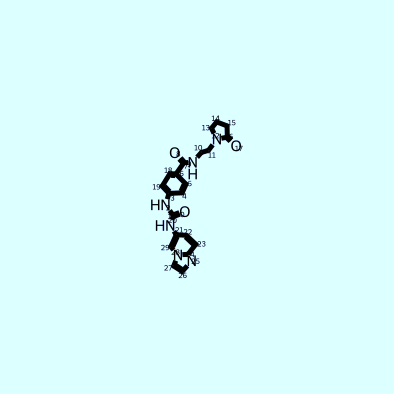 O=C(Nc1ccc(C(=O)NCCN2CCCC2=O)cc1)Nc1ccc2nccn2c1